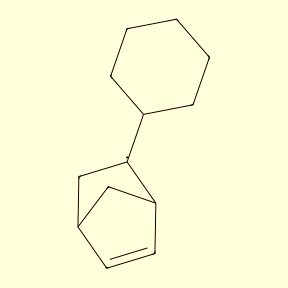 C1=CC2CC1C[C]2C1CCCCC1